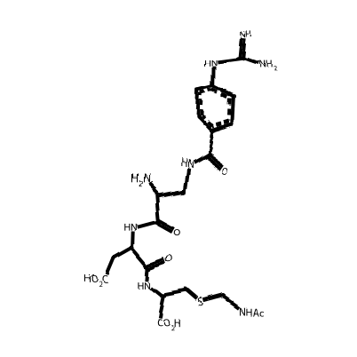 CC(=O)NCSCC(NC(=O)C(CC(=O)O)NC(=O)C(N)CNC(=O)c1ccc(NC(=N)N)cc1)C(=O)O